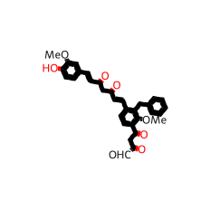 COc1cc(C=CC(=O)CC(=O)C=Cc2ccc(C(=O)CC(=O)C=O)c(OC)c2Cc2ccccc2)ccc1O